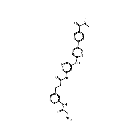 CN(C)C(=O)c1ccc(-c2ccc(Nc3cncc(NC(=O)CCc4cccc(NC(=O)CN)c4)c3)nc2)cc1